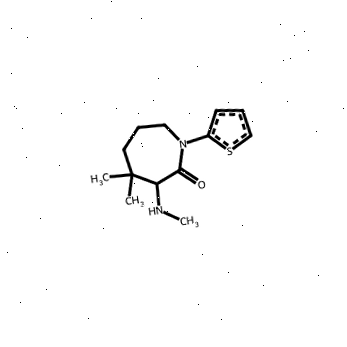 CNC1C(=O)N(c2cccs2)CCCC1(C)C